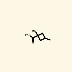 CC1CC(O)(C(=O)O)C1